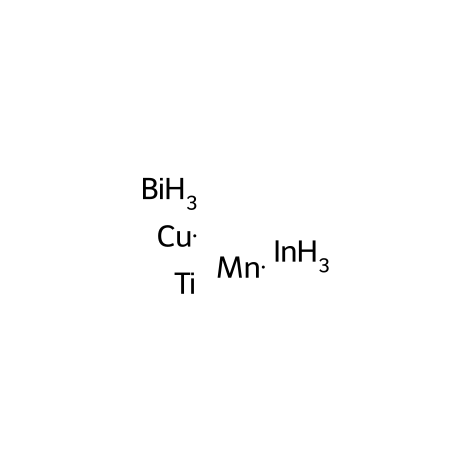 [BiH3].[Cu].[InH3].[Mn].[Ti]